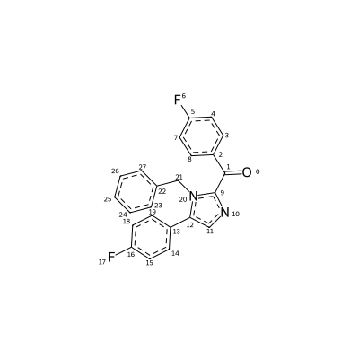 O=C(c1ccc(F)cc1)c1ncc(-c2ccc(F)cc2)n1Cc1ccccc1